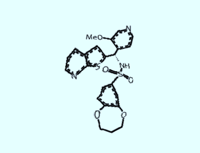 COc1cnccc1[C@H](NS(=O)(=O)c1ccc2c(c1)OCCCO2)c1cc2cccnc2s1